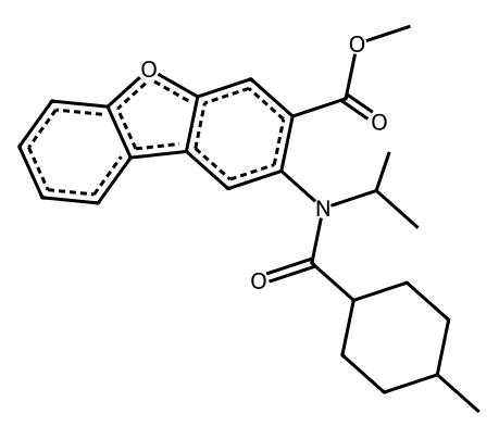 COC(=O)c1cc2oc3ccccc3c2cc1N(C(=O)C1CCC(C)CC1)C(C)C